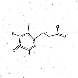 O=C(Cl)CCc1n[nH]c(=O)c(F)c1Cl